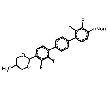 CCCCCCCCCc1ccc(-c2ccc(-c3ccc(C4OCC(C)CO4)c(F)c3F)cc2)c(F)c1F